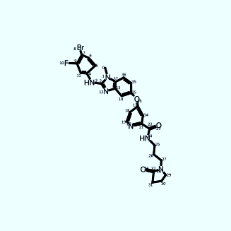 Cn1c(Nc2ccc(Br)c(F)c2)nc2cc(Oc3ccnc(C(=O)NCCCN4CCCC4=O)c3)ccc21